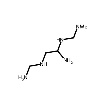 CNCNC(N)CNCN